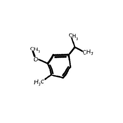 COc1cc([C](C)C)ccc1C